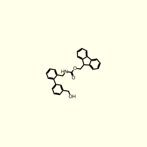 O=C(NCc1ccccc1-c1cccc(CO)c1)OCC1c2ccccc2-c2ccccc21